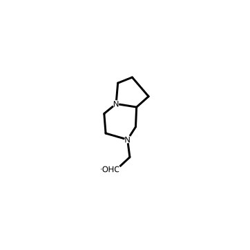 O=[C]CN1CCN2CCCC2C1